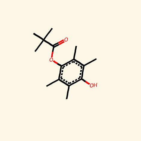 Cc1c(C)c(OC(=O)C(C)(C)C)c(C)c(C)c1O